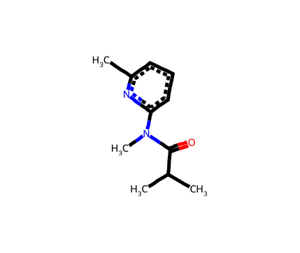 Cc1cccc(N(C)C(=O)C(C)C)n1